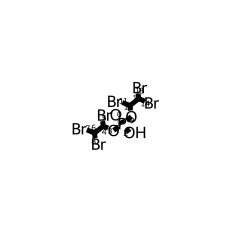 O=P(O)(OC(Br)C(Br)Br)OC(Br)C(Br)Br